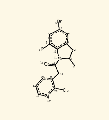 CC1Cc2cc(Br)cc(F)c2N1C(=O)Cc1cccnc1Cl